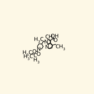 CCc1ccnc2c1c(C(=O)O)c(C)n2C(C)C1CCN(C(=O)OC(C)(C)C)CC1